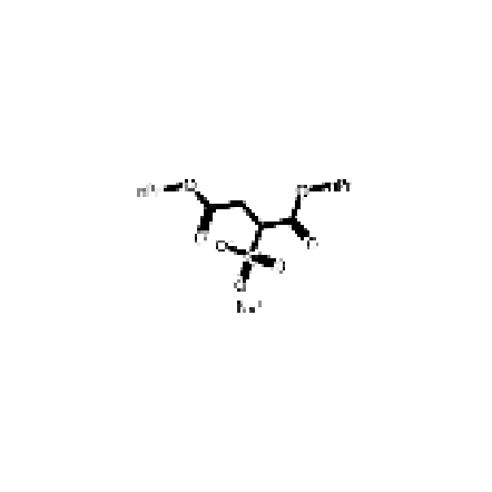 CCCOC(=O)CC(C(=O)OCCC)S(=O)(=O)[O-].[Na+]